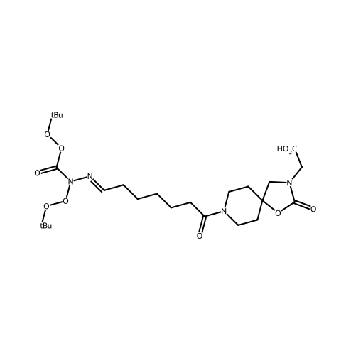 CC(C)(C)OOC(=O)N(N=CCCCCCC(=O)N1CCC2(CC1)CN(CC(=O)O)C(=O)O2)OOC(C)(C)C